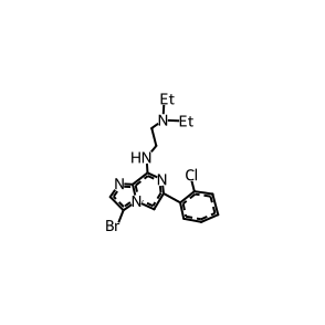 CCN(CC)CCNc1nc(-c2ccccc2Cl)cn2c(Br)cnc12